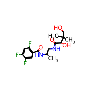 C[C@H](CNC(=O)[C@@H](O)C(C)(C)CO)NC(=O)c1cc(F)c(F)cc1F